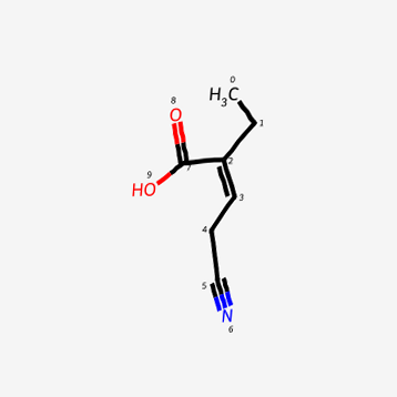 CCC(=CCC#N)C(=O)O